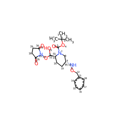 CC(C)(C)OC(=O)N1C[C@H](NOCc2ccccc2)CC[C@H]1C(O)ON1C(=O)CCC1=O